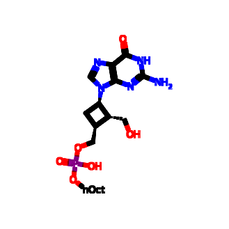 CCCCCCCCOP(=O)(O)OC[C@H]1C[C@@H](n2cnc3c(=O)[nH]c(N)nc32)[C@@H]1CO